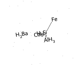 [AlH3].[BaH2].[CaH2].[SiH3][Fe]